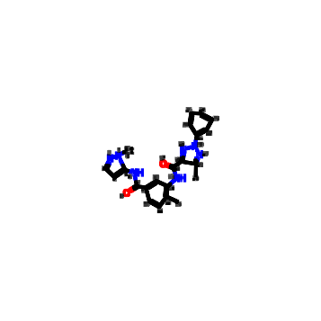 CCn1nccc1NC(=O)c1ccc(C)c(NC(=O)c2nn(-c3ccccc3)nc2C)c1